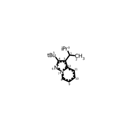 CC(C)C(C)c1c(C(C)(C)C)nn2ccccc12